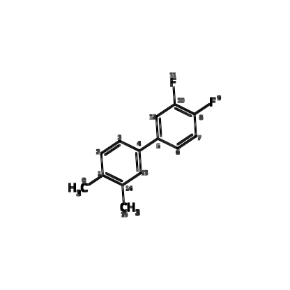 Cc1ccc(-c2ccc(F)c(F)c2)cc1C